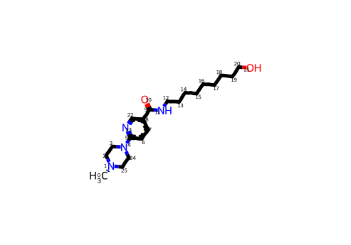 CN1CCN(c2ccc(C(=O)NCCCCCCCCCO)cn2)CC1